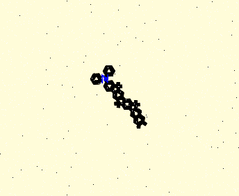 Cc1cc2cc3c(cc2cc1C)C(C)(C)c1cc2c(cc1-3)C(C)(C)c1cc3c(cc1-2)C(C)(C)c1cc(N(c2ccccc2)c2ccccc2)ccc1-3